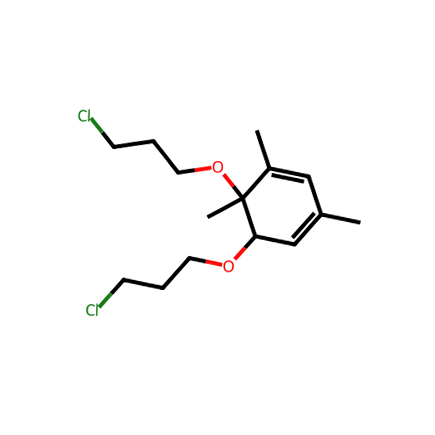 CC1=CC(OCCCCl)C(C)(OCCCCl)C(C)=C1